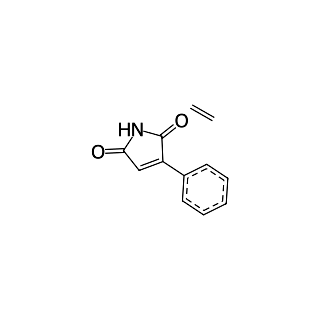 C=C.O=C1C=C(c2ccccc2)C(=O)N1